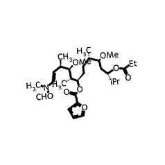 CCC(=O)O[C@@H](C[C@H](OC)[C@@H](C)CC[C@@H](OC(=O)c1ccco1)[C@H](C)[C@H](OC)[C@H](C)/C=C/N(C)C=O)C(C)C